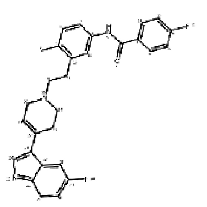 Cc1ccc(NC(=O)c2ccc(F)cc2)cc1CCN1CC=C(C2=CN=C3CC=C(F)C=C23)CC1